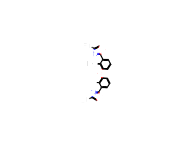 CCc1coc(-c2cccc(Oc3cccc(-c4nc(CC)co4)c3C)c2C)n1